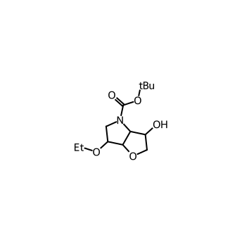 CCOC1CN(C(=O)OC(C)(C)C)C2C(O)COC12